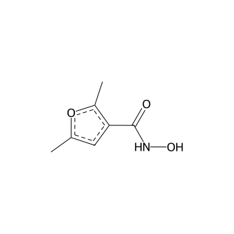 Cc1cc(C(=O)NO)c(C)o1